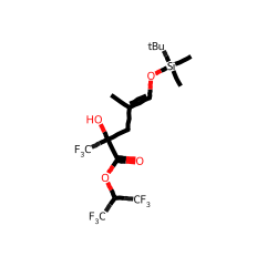 C/C(=C\O[Si](C)(C)C(C)(C)C)CC(O)(C(=O)OC(C(F)(F)F)C(F)(F)F)C(F)(F)F